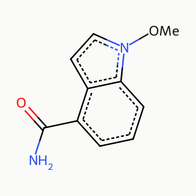 COn1ccc2c(C(N)=O)cccc21